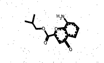 CC(C)COC(=O)c1cc(=O)c2cccc(N)c2o1